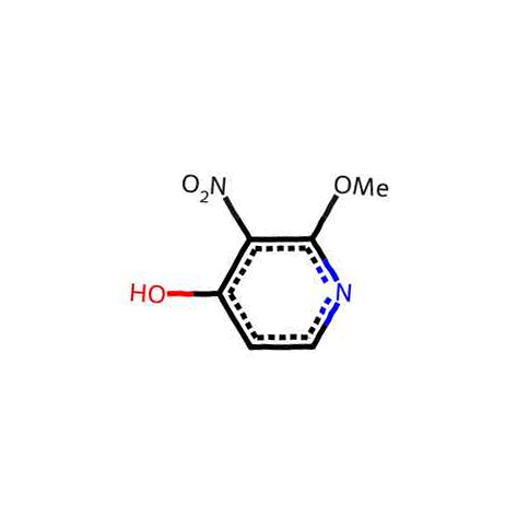 COc1nccc(O)c1[N+](=O)[O-]